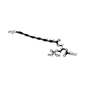 CC#CC#CC#CC#CC#CC#CC(=O)OC[C@@H](COP(=O)(O)O)OC(=O)CCCCCCCC